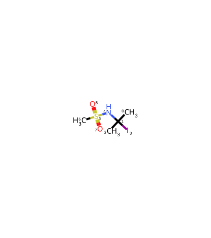 CC(C)(I)NS(C)(=O)=O